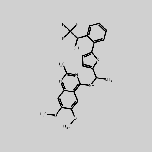 COc1cc2nc(C)nc(NC(C)c3ccc(-c4ccccc4C(O)C(F)(F)F)s3)c2cc1OC